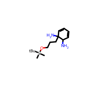 CC(C)(C)[Si](C)(C)OCCCC1(N)C=CC=CC1N